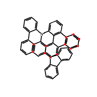 c1ccc(-c2ccccc2-c2c(-c3ccccc3)cccc2N(c2cccc(-n3c4ccccc4c4ccccc43)c2)c2ccccc2-c2ccccc2)cc1